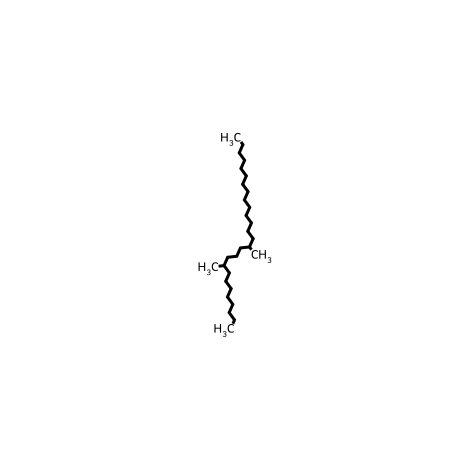 CCCCCCCCCCCCCCC(C)CCCC(C)CCCCCCCC